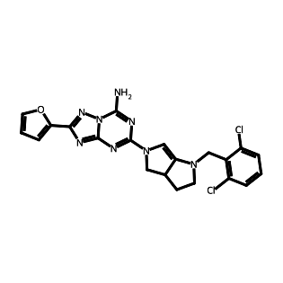 Nc1nc(N2C=C3C(CCN3Cc3c(Cl)cccc3Cl)C2)nc2nc(-c3ccco3)nn12